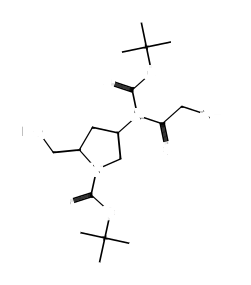 CC(C)(C)OC(=O)N1CC(N(C(=O)CN)C(=O)OC(C)(C)C)CC1CO